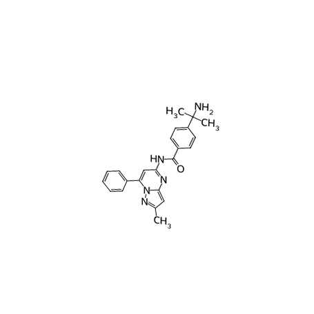 Cc1cc2nc(NC(=O)c3ccc(C(C)(C)N)cc3)cc(-c3ccccc3)n2n1